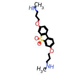 CNCCCOc1ccc2c(c1)S(=O)(=O)c1cc(OCCCNC)ccc1-2